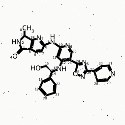 CC1NC(=O)c2ccc(Nc3cc(N[C@H](CO)c4ccccc4)c(-c4nc(-c5ccncc5)no4)cn3)nc21